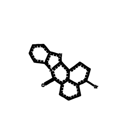 O=c1c2cccc3c(Br)ccc(c32)c2nc3ccccc3n12